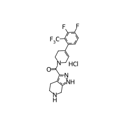 Cl.O=C(c1n[nH]c2c1CCNC2)N1CC=C(c2ccc(F)c(F)c2C(F)(F)F)CC1